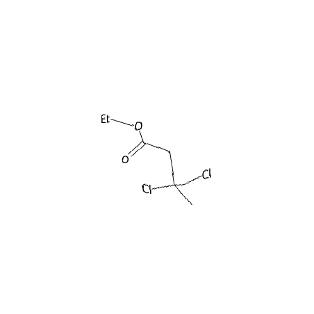 CCOC(=O)CC(C)(Cl)Cl